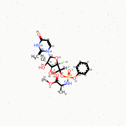 [2H]C([2H])(OP(=O)(N[C@@H](C)C(=O)OC(C)C)Oc1ccccc1)[C@@]1(F)O[C@@H](N2C=CC(=O)NC2=C)[C@](C)(O)[C@@H]1O